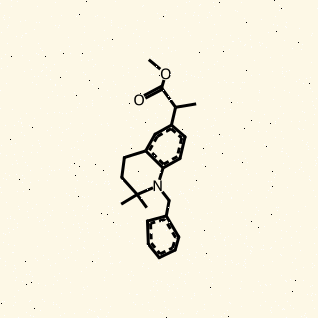 COC(=O)C(C)c1ccc2c(c1)CCC(C)(C)N2Cc1ccccc1